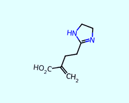 C=C(CCC1=NCCN1)C(=O)O